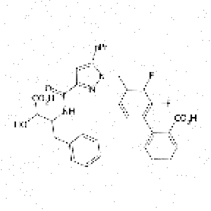 CCCc1cc(C(=O)NC(Cc2ccccc2)C(O)C(=O)O)nn1Cc1ccc(-c2ccccc2C(=O)O)c(F)c1F